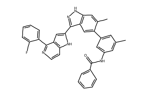 Cc1cc(NC(=O)c2ccccc2)cc(-c2cc3c(-c4cc5c(-c6ccccc6F)nccc5[nH]4)n[nH]c3cc2C)c1